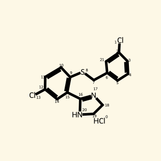 Cl.Clc1cccc(CSc2ccc(Cl)cc2C2=NCCN2)c1